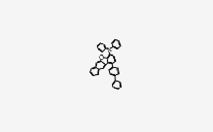 c1ccc(-c2ccc(-c3ccc(N(c4ccccc4)c4ccccc4)c4oc5cc6ccccc6cc5c34)cc2)cc1